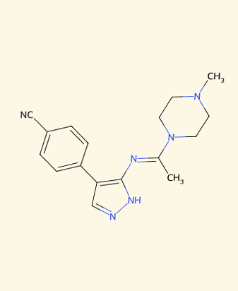 C/C(=N\c1[nH]ncc1-c1ccc(C#N)cc1)N1CCN(C)CC1